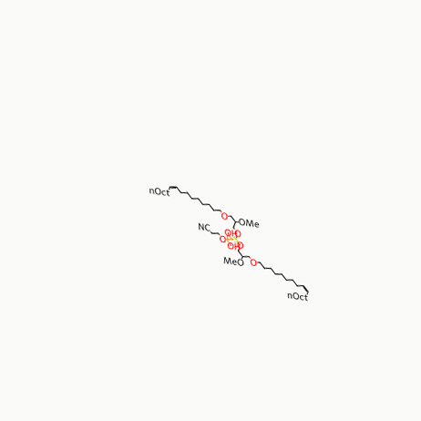 CCCCCCCC/C=C\CCCCCCCCOCC(COS(OCC(COCCCCCCCC/C=C\CCCCCCCC)OC)=P(O)(O)OCCC#N)OC